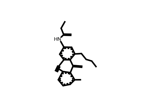 C#Cc1cc(NC(=C)CC)cc(CCCC)c1C(=C)c1c(C)cccc1C